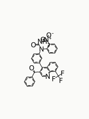 NC(=O)N(c1cccc(-c2c(C(=O)c3ccccc3)cnc3c(C(F)(F)F)cccc23)c1)c1ccccc1[N+](=O)[O-]